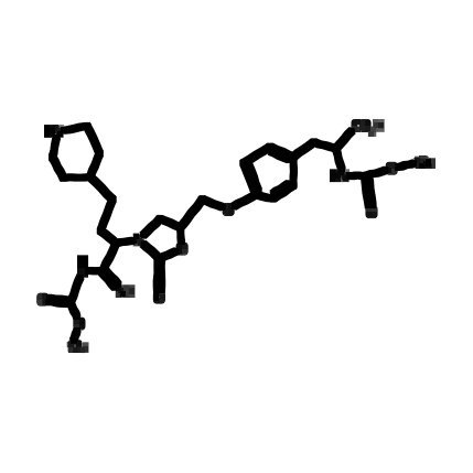 CC(C)(C)OC(=O)NC(=N)C(CCC1CCNCC1)N1CC(COc2ccc(CC(NC(=O)OC(C)(C)C)C(=O)O)cc2)OC1=O